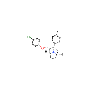 Cc1ccc([C@@H]2C[C@H]3CC[C@@H]([C@@H]2COc2ccc(Cl)cc2)N3C)cc1